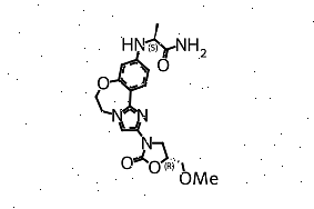 COC[C@H]1CN(c2cn3c(n2)-c2ccc(N[C@@H](C)C(N)=O)cc2OCC3)C(=O)O1